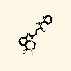 O=C(CCc1nc2cccc3c2n1CCNC3=O)Nc1ccccn1